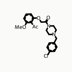 COc1cccc(OCC(=O)N2CCN(Cc3ccc(Cl)cc3)CC2)c1C(C)=O